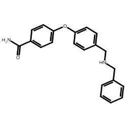 NC(=O)c1ccc(Oc2ccc(CNCc3ccccc3)cc2)cc1